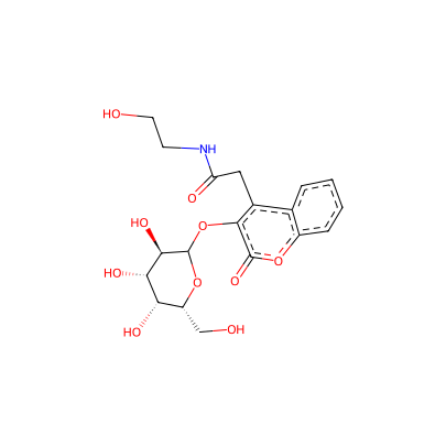 O=C(Cc1c(OC2O[C@H](CO)[C@H](O)[C@H](O)[C@H]2O)c(=O)oc2ccccc12)NCCO